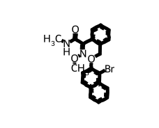 CNC(=O)C(=NOC)c1ccccc1COc1ccc2ccccc2c1Br